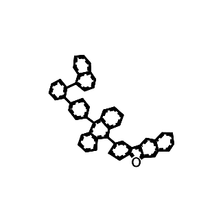 c1ccc(-c2cccc3ccccc23)c(-c2ccc(-c3c4ccccc4c(-c4ccc5oc6cc7ccccc7cc6c5c4)c4ccccc34)cc2)c1